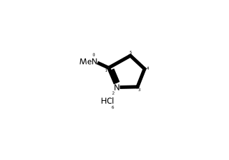 CNC1=NCCC1.Cl